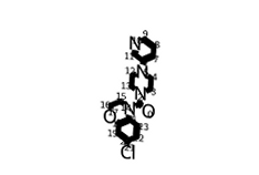 O=C(N1CCN(c2cccnc2)CC1)N1CCOc2cc(Cl)ccc21